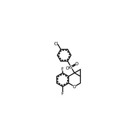 O=S(=O)(c1ccc(Cl)cc1)C12CC1COc1c(F)ccc(F)c12